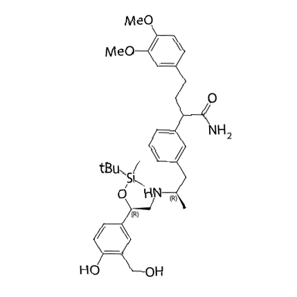 COc1ccc(CCC(C(N)=O)c2cccc(C[C@@H](C)NC[C@H](O[Si](C)(C)C(C)(C)C)c3ccc(O)c(CO)c3)c2)cc1OC